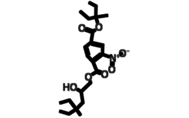 CCC(C)(CC)CC(O)COC(=O)c1ccc(C(=O)OC(C)(CC)CC)cc1[N+](=O)[O-]